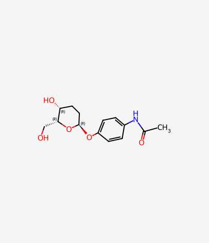 CC(=O)Nc1ccc(O[C@@H]2CC[C@@H](O)[C@@H](CO)O2)cc1